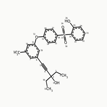 CCC(O)(C#Cc1cc(C)cc(Oc2ccc(S(=O)(=O)c3ccccc3O)cc2)c1)CC